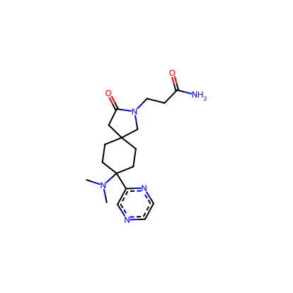 CN(C)C1(c2cnccn2)CCC2(CC1)CC(=O)N(CCC(N)=O)C2